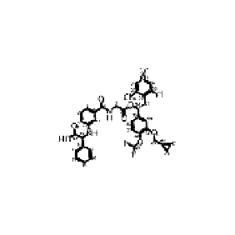 O=C(CNC(=O)c1cccc(NC(C(=O)O)c2ccccc2)c1)O[C@@H](Cc1c(Cl)c[n+]([O-])cc1Cl)c1ccc(OC(F)F)c(OCC2CC2)c1